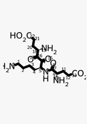 NCCCC[C@H](NC(=O)[C@@H](N)CCC(=O)O)C(=O)C(=O)[C@@H](N)CCC(=O)O